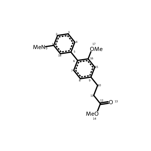 CNc1cccc(-c2ccc(CCC(=O)OC)cc2OC)c1